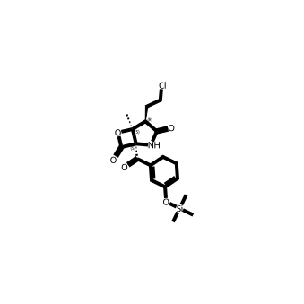 C[C@@]12OC(=O)[C@]1(C(=O)C1=CC(O[Si](C)(C)C)=CCC1)NC(=O)[C@@H]2CCCl